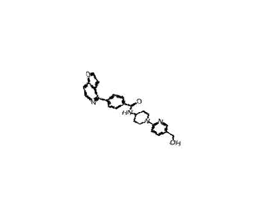 O=C(NC1CCN(c2ccc(CO)cn2)CC1)c1ccc(-c2nccc3occc23)cc1